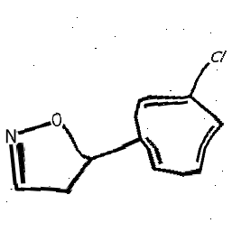 Clc1cccc(C2C[C]=NO2)c1